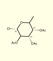 CC(=O)OC1[C@H](Cl)OC(C)[C@H](OC(C)=O)[C@@H]1OC(C)=O